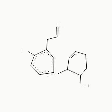 C=CCc1ccccc1O.O=C(O)C1C=CCCC1C(=O)O